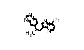 CC(C)c1ccnc2c(CC(C)c3ccn4ncnc4c3)cnn12